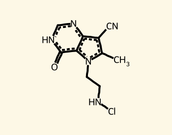 Cc1c(C#N)c2nc[nH]c(=O)c2n1CCNCl